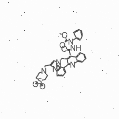 COC(=O)N(NC(=O)c1c(Cn2cc(CN3CCS(=O)(=O)CC3)nn2)c(-c2ccccc2)nc2ccccc12)c1ccccc1